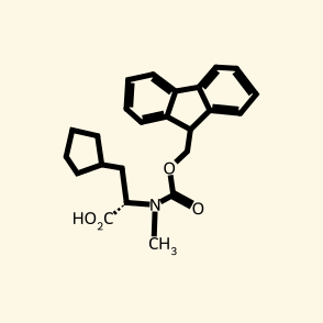 CN(C(=O)OCC1c2ccccc2-c2ccccc21)[C@@H](CC1CCCC1)C(=O)O